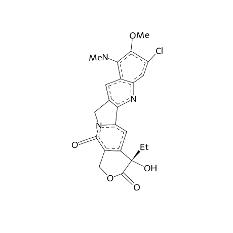 CC[C@@]1(O)C(=O)OCc2c1cc1n(c2=O)Cc2cc3c(NC)c(OC)c(Cl)cc3nc2-1